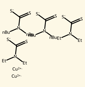 CCCCN(CCCC)C(=S)[S-].CCCCN(CCCC)C(=S)[S-].CCN(CC)C(=S)[S-].CCN(CC)C(=S)[S-].[Cu+2].[Cu+2]